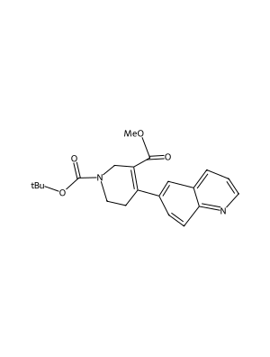 COC(=O)C1=C(c2ccc3ncccc3c2)CCN(C(=O)OC(C)(C)C)C1